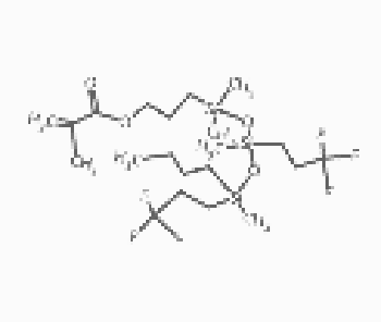 C=C(C)C(=O)OCCC[Si](C)(C)O[Si](C)(CCC(F)(F)F)O[Si](C)(CCCC)CCC(F)(F)F